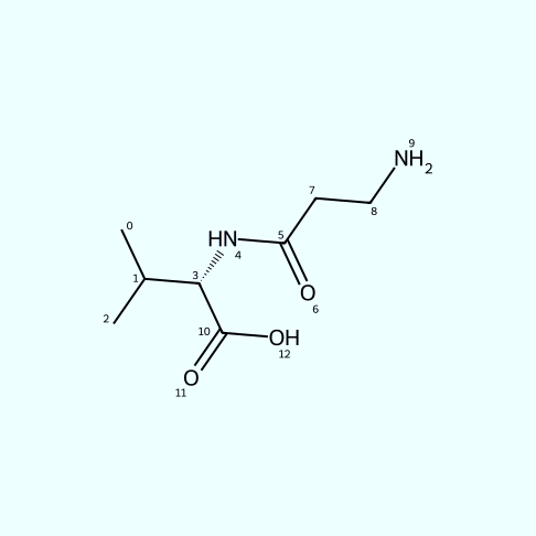 CC(C)[C@H](NC(=O)CCN)C(=O)O